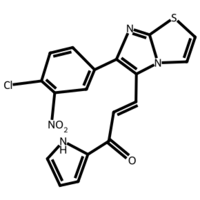 O=C(C=Cc1c(-c2ccc(Cl)c([N+](=O)[O-])c2)nc2sccn12)c1ccc[nH]1